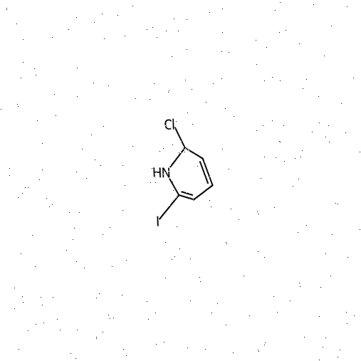 ClC1C=CC=C(I)N1